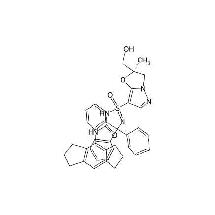 C[C@]1(CO)Cn2ncc(S(=O)(=NC(c3ccccc3)(c3ccccc3)c3ccccc3)NC(=O)Nc3c4c(cc5c3CCC5)CCC4)c2O1